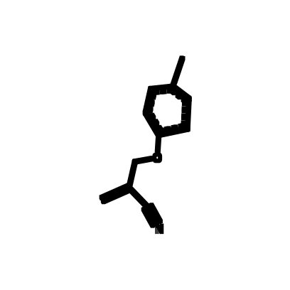 C=C(C#N)COc1ccc(C)cc1